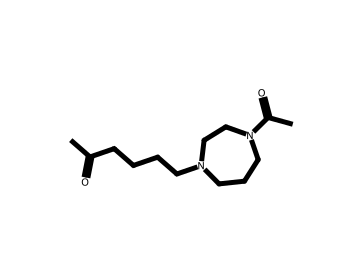 CC(=O)CCCCN1CCCN(C(C)=O)CC1